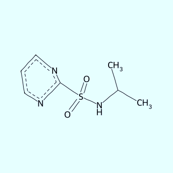 CC(C)NS(=O)(=O)c1ncccn1